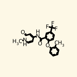 CN/C=C\C(=C/C=O)NC(=O)c1cc(C(F)(F)F)ccc1Oc1ccccc1C